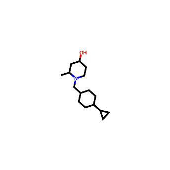 CC1CC(O)CCN1CC1CCC(C2CC2)CC1